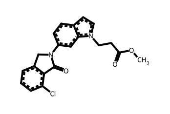 COC(=O)CCn1ccc2ccc(N3Cc4cccc(Cl)c4C3=O)cc21